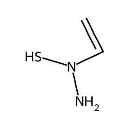 C=CN(N)S